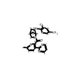 Cc1ccc(-c2ncccn2)c(C(=O)N2CC3CC(Nc4ncc(C(F)(F)F)cc4Cl)C2C3)n1